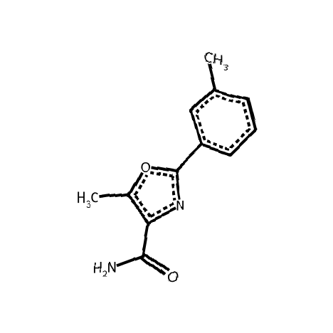 Cc1cccc(-c2nc(C(N)=O)c(C)o2)c1